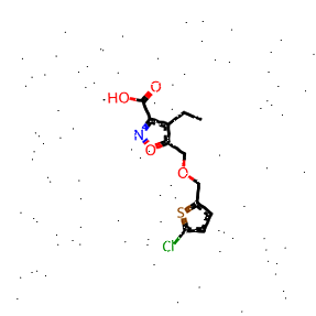 CCc1c(C(=O)O)noc1COCc1ccc(Cl)s1